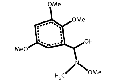 COc1cc(OC)c(OC)c(C(O)N(C)OC)c1